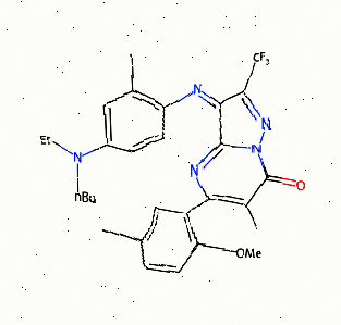 CCCCN(CC)c1ccc(/N=C2/C(C(F)(F)F)=Nn3c2nc(-c2cc(C)ccc2OC)c(C)c3=O)c(C)c1